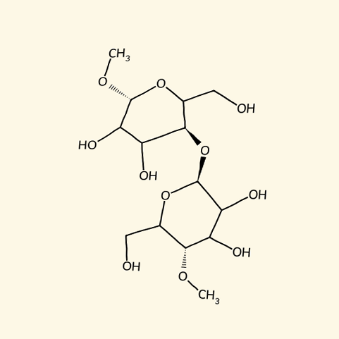 CO[C@@H]1OC(CO)[C@@H](O[C@@H]2OC(CO)[C@@H](OC)C(O)C2O)C(O)C1O